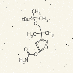 CC(C)(CO[Si](C)(C)C(C)(C)C)c1cc(OC(N)=O)on1